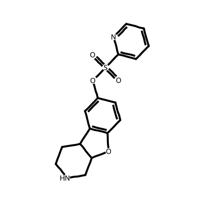 O=S(=O)(Oc1ccc2c(c1)C1CCNCC1O2)c1ccccn1